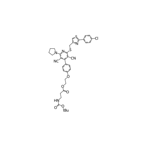 CC(C)(C)OC(=O)NCCC(=O)OCCOc1ccc(-c2c(C#N)c(SCc3csc(-c4ccc(Cl)cc4)n3)nc(N3CCCC3)c2C#N)cc1